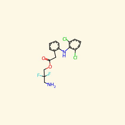 NCC(F)(F)COC(=O)Cc1ccccc1Nc1c(Cl)cccc1Cl